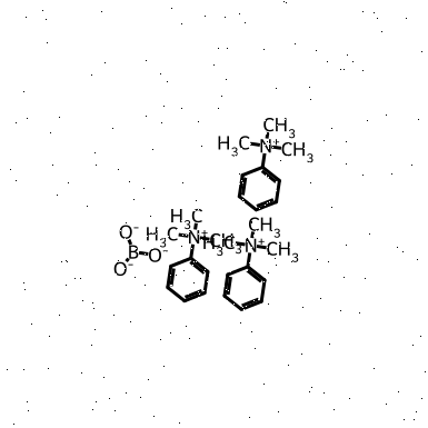 C[N+](C)(C)c1ccccc1.C[N+](C)(C)c1ccccc1.C[N+](C)(C)c1ccccc1.[O-]B([O-])[O-]